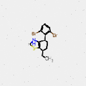 CCC1CCC(c2c(Br)cccc2Br)C2=C1S[C]N2